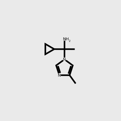 Cc1cn(C(C)(N)C2CC2)cn1